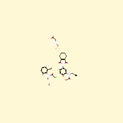 C#CCN1C(=O)COc2cc(F)c(N3C(=O)C4=C(CCCC4)C3=O)cc21.CCOCN(C(=O)CCl)c1c(C)cccc1CC.O=C(O)CNCP(=O)(O)O